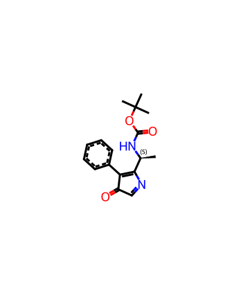 C[C@H](NC(=O)OC(C)(C)C)C1=C(c2ccccc2)C(=O)C=N1